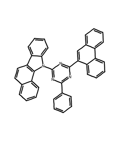 c1ccc(-c2nc(-c3cc4ccccc4c4ccccc34)nc(-n3c4ccccc4c4ccc5ccccc5c43)n2)cc1